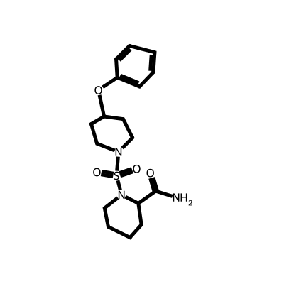 NC(=O)C1CCCCN1S(=O)(=O)N1CCC(Oc2ccccc2)CC1